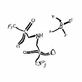 F[B-](F)(F)F.O=S(=O)(NS(=O)(=O)C(F)(F)F)C(F)(F)F